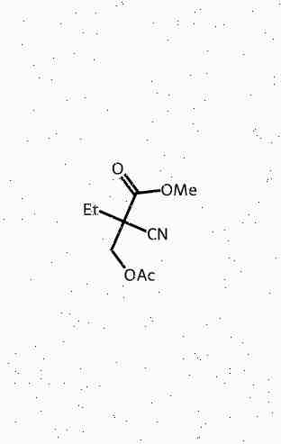 CCC(C#N)(COC(C)=O)C(=O)OC